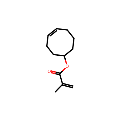 C=C(C)C(=O)OC1CC/C=C\CCC1